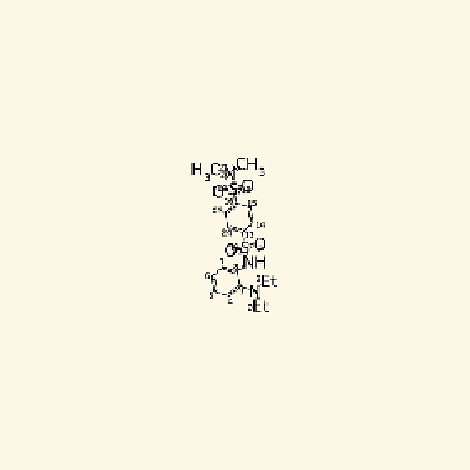 CCN(CC)c1ccccc1NS(=O)(=O)c1ccc(S(=O)(=O)N(C)C)cc1